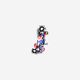 CC(CCN1C(=O)c2ccccc2C(C)(C)C1=O)NCCCN1C(=O)c2ccccc2C(C)(C)C1=O